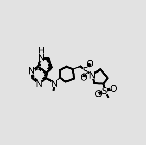 CN(c1ncnc2[nH]ccc12)[C@H]1CC[C@H](CS(=O)(=O)N2CCC(S(C)(=O)=O)C2)CC1